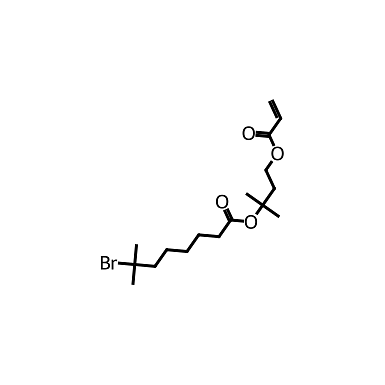 C=CC(=O)OCCC(C)(C)OC(=O)CCCCCC(C)(C)Br